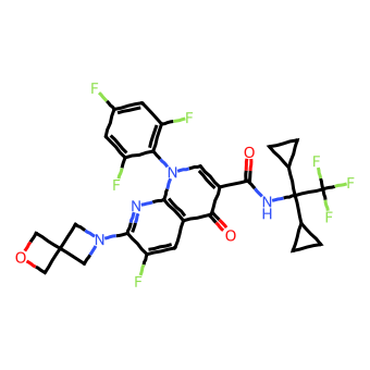 O=C(NC(C1CC1)(C1CC1)C(F)(F)F)c1cn(-c2c(F)cc(F)cc2F)c2nc(N3CC4(COC4)C3)c(F)cc2c1=O